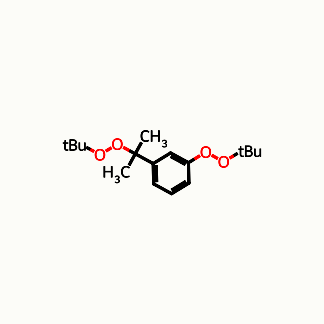 CC(C)(C)OOc1cccc(C(C)(C)OOC(C)(C)C)c1